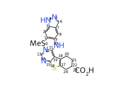 CSc1cc2[nH]ncc2cc1Nc1ncnc2sc3c(c12)CC[C@H](C(=O)O)C3